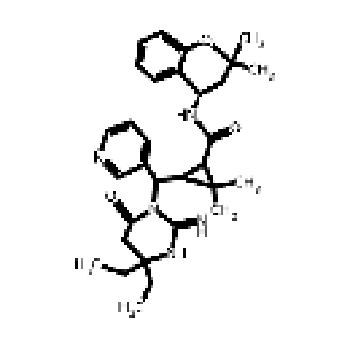 CCC1(CC)CC(=O)N(C(c2cccnc2)C2C(C(=O)N[C@@H]3CC(C)(C)Oc4ccccc43)C2(C)C)C(=N)N1